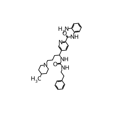 CC1CCN(CCCC(NC(=O)NCCc2ccccc2)c2ccc(C(=O)Nc3ccccc3N)nc2)CC1